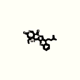 CC[C@@]1(O)CC(=O)OCc2c1cc1n(c2=O)Cc2c-1nc1ccccc1c2CCC(C)C